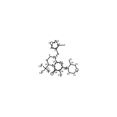 Cc1nocc1CN1CCC(C(F)(F)F)n2c1nc(N1CCOCC1C)c(F)c2=O